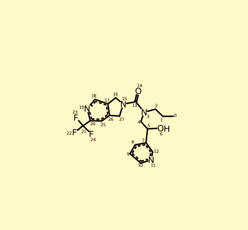 CCCN(CC(O)c1cccnc1)C(=O)N1Cc2cnc(C(F)(F)F)cc2C1